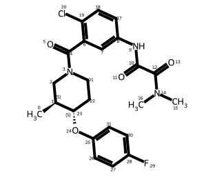 C[C@H]1CN(C(=O)c2cc(NC(=O)C(=O)N(C)C)ccc2Cl)CC[C@@H]1Oc1ccc(F)cc1